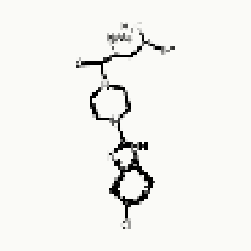 CN[C@H](CN(C)C(C)C)C(=O)N1CCN(c2nc3cc(Cl)ccc3[nH]2)CC1